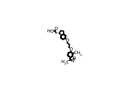 Cc1noc2c(C)c(OCCCOc3ccc4c(c3)CC[C@H]4CC(=O)O)ccc12